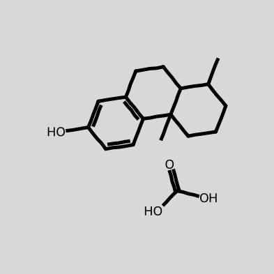 CC1CCCC2(C)c3ccc(O)cc3CCC12.O=C(O)O